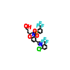 O=S(=O)(c1cccc(C(F)(F)F)c1)N1C[C@H](CCCO)Oc2ccc(C3CN(c4c(Cl)cccc4C(F)(F)F)C3)cc21